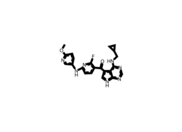 COc1ccc(Nc2ccc(C(=O)c3c[nH]c4ncnc(NCC5CC5)c34)c(F)n2)cn1